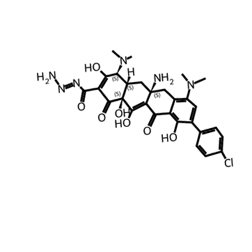 CN(C)c1cc(-c2ccc(Cl)cc2)c(O)c2c1C[C@@]1(N)C[C@H]3[C@H](N(C)C)C(O)=C(C(=O)N=NN)C(=O)[C@@]3(O)C(O)=C1C2=O